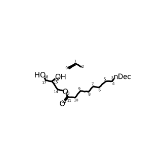 C=CC.CCCCCCCCCCCCCCCCCC(=O)OCC(O)CO